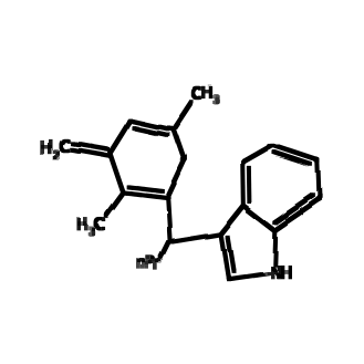 C=C1C=C(C)CC(C(CCC)c2c[nH]c3ccccc23)=C1C